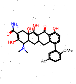 COc1ccc(C(C)=O)cc1-c1ccc(O)c2c1CC1CC3C(N(C)C)C(O)=C(C(N)=O)CC3(O)C(O)=C1C2=O